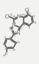 Fc1ccc(-c2nc3c4cccc(Cl)c4nc(Cl)n3n2)cc1